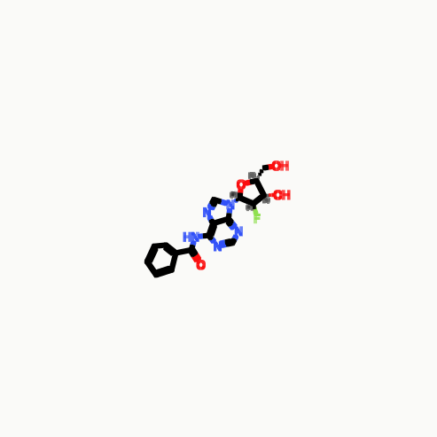 O=C(Nc1ncnc2c1ncn2[C@@H]1O[C@H](CO)[C@H](O)[C@H]1F)c1ccccc1